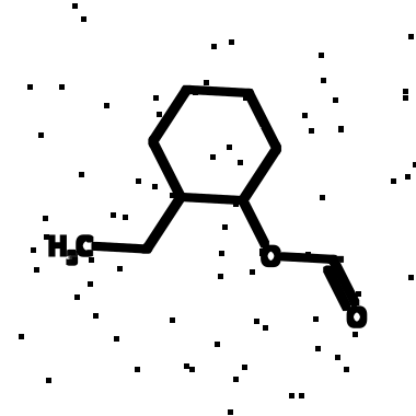 CCC1CCCCC1O[C]=O